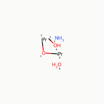 CC(C)OC(C)C.CO.N.O